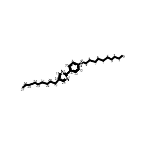 CCCCCCCCCCSc1ccc(-c2ncc(CCCCCCCCC)cn2)cc1